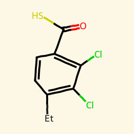 CCc1ccc(C(=O)S)c(Cl)c1Cl